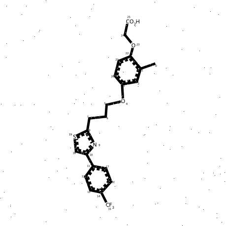 Cc1cc(OCCCc2nc(-c3ccc(C(F)(F)F)cc3)cs2)ccc1OCC(=O)O